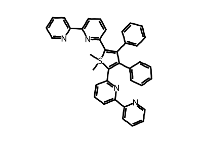 CS1(C)C(c2cccc(-c3ccccn3)n2)=C(c2ccccc2)C(c2ccccc2)=C1c1cccc(-c2ccccn2)n1